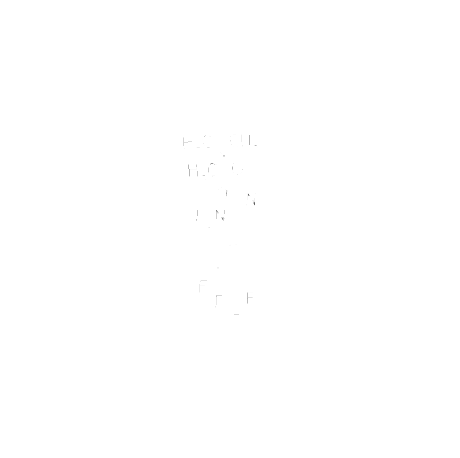 CC(C)(C)OC(=O)N1CCCC1[C@@H](N)c1ccc(C(F)(F)F)c(F)c1